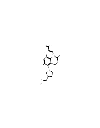 CNCC1CCN(c2c(F)cc3c4c2CCC(C)N4C=C(C(=O)O)O3)C1